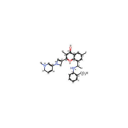 Cc1cc(C(C)Nc2ccccc2C(=O)O)c2oc(C3=CN(C4=CN(C)CC=C4)C3)c(C)c(=O)c2c1